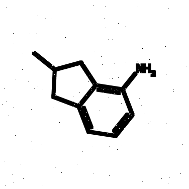 CC1Cc2cccc(N)c2C1